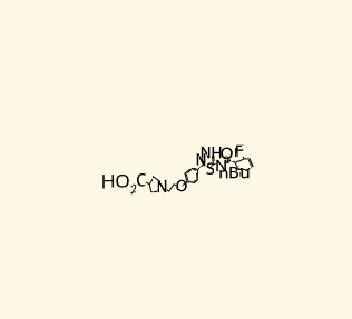 C=C(S/C(=N\N)c1ccc(OCCN2CCC(C(=O)O)CC2)cc1)N(CCCC)C(=O)C1C=CC=CC1F